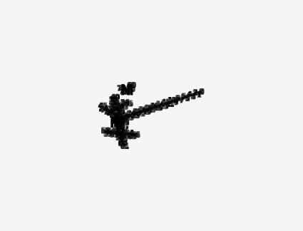 CCCCCCCCCCCCCCCCCCCCCCCCCCCC1=C(c2cc(CCCC)c(CCCC)c(CCCC)c2)[N+](=[N-])C(c2cc(CCCC)c(CCCC)c(CCCC)c2)=C1.C[CH2][Ni][CH2]C